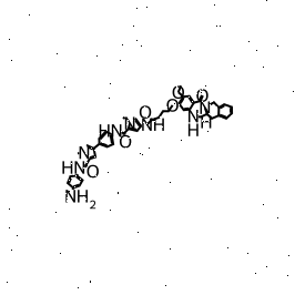 COc1cc2c(cc1OCCCC(=O)Nc1cc(C(=O)Nc3ccc(-c4cc(C(=O)Nc5ccc(N)cc5)n(C)c4)cc3)n(C)c1)NC[C@@H]1Cc3ccccc3CN1C2=O